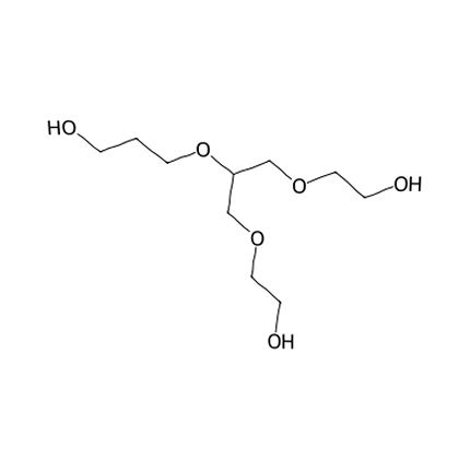 OCCCOC(COCCO)COCCO